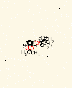 CC1(C)O[C@@H]2[C@@H](CO[Si](C)(C)C(C)(C)C)C=C[C@@H]2O1